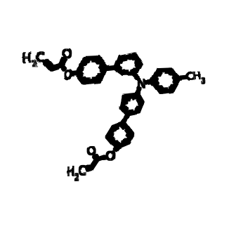 C=CC(=O)Oc1ccc(-c2ccc(N(c3ccc(C)cc3)c3cccc(-c4ccc(OC(=O)C=C)cc4)c3)cc2)cc1